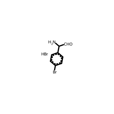 Br.NC(C=O)c1ccc(Br)cc1